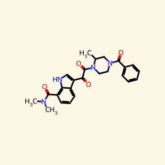 CC1CN(C(=O)c2ccccc2)CCN1C(=O)C(=O)c1c[nH]c2c(C(=O)N(C)C)cccc12